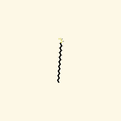 CCCCCCCCCCCCCCCCCCSS